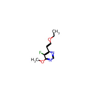 CCOC=Cc1ncnc(OC)c1F